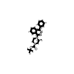 C[C@H]1CN(C(=O)OC(C)(C)C)CCN1c1nnc(-c2ccccc2)c2ccccc12